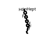 C/C=C\CCOc1ccc(-c2ccc(-c3ccc(C4CCC(C(O)CCCCCCC)CC4)c(F)c3)cc2)c(F)c1F